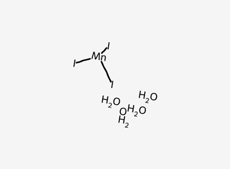 O.O.O.O.[I][Mn]([I])[I]